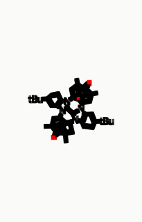 Cc1cc(N2c3ccc(C(C)(C)C)cc3N(c3cc(C)c(C)c(C)c3)C2C2N(c3cc(C)c(C)c(C)c3)c3ccc(C(C)(C)C)cc3N2c2cc(C)c(C)c(C)c2)cc(C)c1C